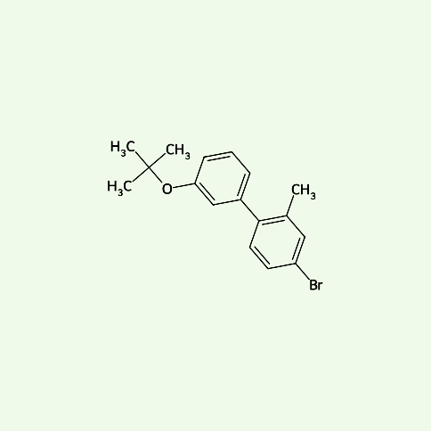 Cc1cc(Br)ccc1-c1cccc(OC(C)(C)C)c1